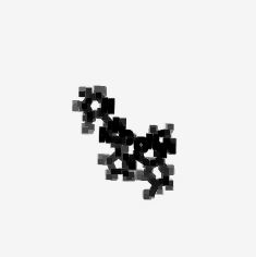 Cc1ccc(-n2nccn2)c(C(=O)N2CCCC2c2nc(-c3ncccc3C)no2)c1